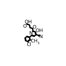 Cc1c(Cl)cccc1-c1cc(C#N)c(O)c(C(=O)CCC(=O)O)n1